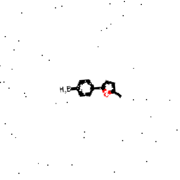 Bc1ccc(-c2ccc(C)o2)cc1